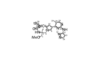 COCC(C)(Cn1cc(-c2nc(Nc3ccnn3C)ncc2C)cc1[C]=O)NC(=O)OC(C)(C)C